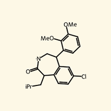 COc1cccc(C2C[N]C(=O)C(CC(C)C)c3ccc(Cl)cc32)c1OC